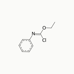 CCOC(Cl)=Nc1ccccc1